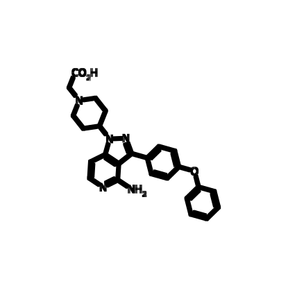 Nc1nccc2c1c(-c1ccc(Oc3ccccc3)cc1)nn2C1CCN(CC(=O)O)CC1